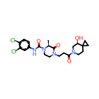 C[C@H]1C(=O)N(CCC(=O)N2CCC3(CC3)[C@H](O)C2)CCN1C(=O)Nc1ccc(Cl)c(Cl)c1